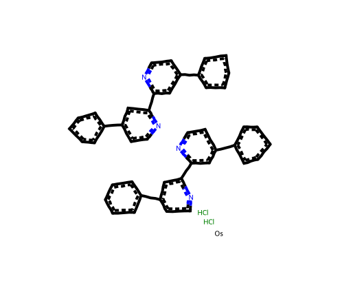 Cl.Cl.[Os].c1ccc(-c2ccnc(-c3cc(-c4ccccc4)ccn3)c2)cc1.c1ccc(-c2ccnc(-c3cc(-c4ccccc4)ccn3)c2)cc1